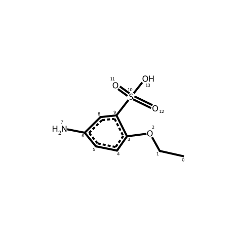 CCOc1ccc(N)cc1S(=O)(=O)O